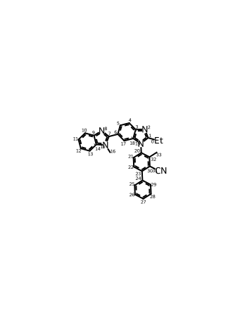 CCc1nc2ccc(-c3nc4ccccc4n3C)cc2n1-c1ccc(-c2ccccc2)c(C#N)c1C